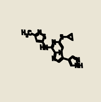 Cc1cc(Nc2nc(SC3CC3)cn3c(-c4cn[nH]c4)cnc23)sn1